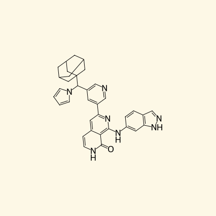 O=c1[nH]ccc2cc(-c3cncc(C(n4cccc4)C45CC6CC(CC(C6)C4)C5)c3)nc(Nc3ccc4cn[nH]c4c3)c12